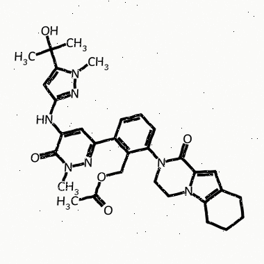 CC(=O)OCc1c(-c2cc(Nc3cc(C(C)(C)O)n(C)n3)c(=O)n(C)n2)cccc1N1CCn2c(cc3c2CCCC3)C1=O